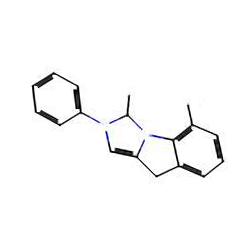 Cc1cccc2c1N1C(=CN(c3ccccc3)C1C)C2